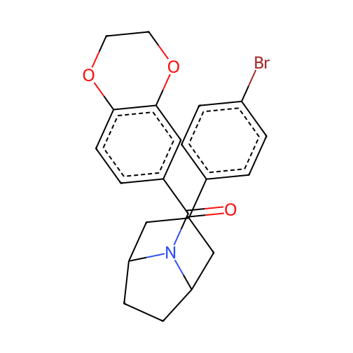 O=C(c1ccc2c(c1)OCCO2)N1C2CCC1CC(c1ccc(Br)cc1)C2